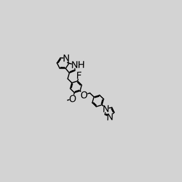 COc1cc(Cc2c[nH]c3ncccc23)c(F)cc1OCc1ccc(-n2ccnc2)cc1